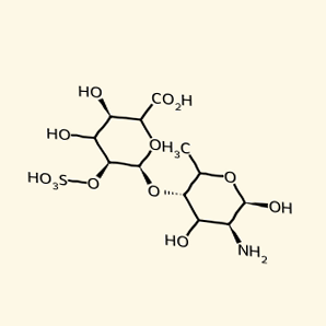 CC1O[C@@H](O)[C@@H](N)C(O)[C@@H]1O[C@@H]1OC(C(=O)O)[C@H](O)C(O)[C@@H]1OS(=O)(=O)O